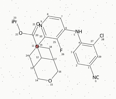 [C-]#[N+]c1ccc(Nc2ccnc(OC3C4COCC3CN(C(=O)OC(C)C)C4)c2F)c(Cl)c1